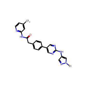 CCn1cc(Nc2ncc(-c3ccc(CC(=O)Nc4cc(C(F)(F)F)ccn4)cc3)cn2)cn1